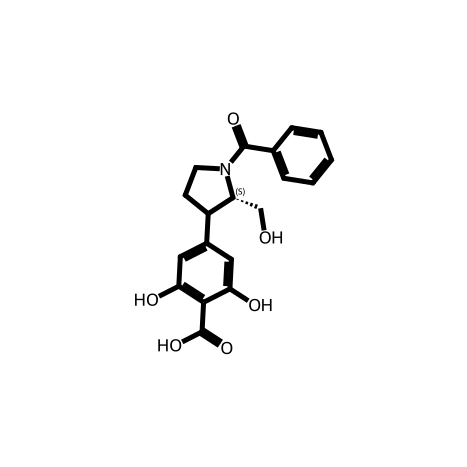 O=C(O)c1c(O)cc(C2CCN(C(=O)c3ccccc3)[C@@H]2CO)cc1O